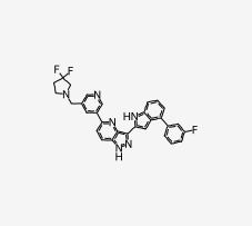 Fc1cccc(-c2cccc3[nH]c(-c4n[nH]c5ccc(-c6cncc(CN7CCC(F)(F)C7)c6)nc45)cc23)c1